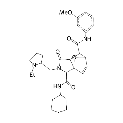 CCN1CCCC1CN1C(=O)C2C(C(=O)Nc3cccc(OC)c3)C3C=CC2(O3)C1C(=O)NC1CCCCC1